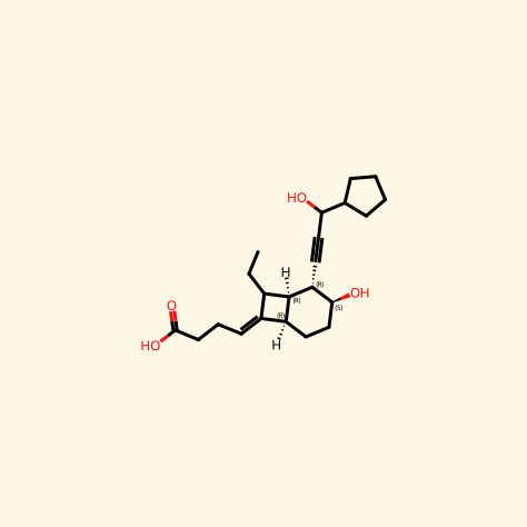 CCC1C(=CCCC(=O)O)[C@@H]2CC[C@H](O)[C@@H](C#CC(O)C3CCCC3)[C@H]12